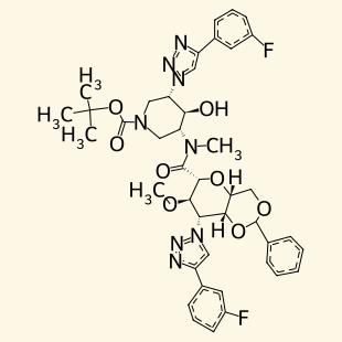 CO[C@@H]1[C@@H](n2cc(-c3cccc(F)c3)nn2)[C@H]2OC(c3ccccc3)OC[C@H]2O[C@H]1C(=O)N(C)[C@@H]1CN(C(=O)OC(C)(C)C)C[C@H](n2cc(-c3cccc(F)c3)nn2)[C@H]1O